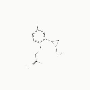 C=C(F)COc1ccc(F)cc1C1CC1NC